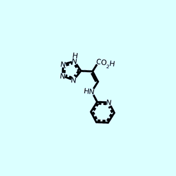 O=C(O)/C(=C/Nc1ccccn1)c1nnn[nH]1